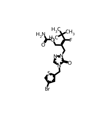 CC(C)(C)/C(F)=C(\COC(N)=O)Cn1ncn(Cc2cc(Br)cs2)c1=O